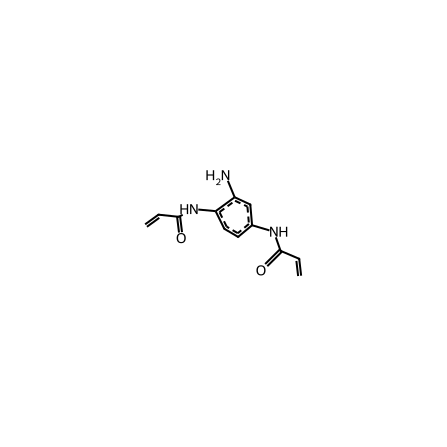 C=CC(=O)Nc1ccc(NC(=O)C=C)c(N)c1